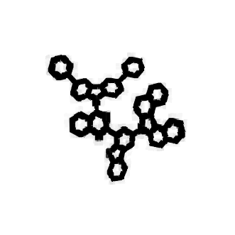 c1ccc(-c2ccc3c(c2)c2cc(-c4ccccc4)ccc2n3-c2nc(-c3cc(-n4c5ccc6ccccc6c5c5c6ccccc6ccc54)cc4c3sc3ccccc34)nc3ccccc23)cc1